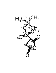 C[Si](C)(C)OS(=O)(=O)C1CC(=O)OC1=O